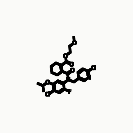 COCCOC(=O)C1=C(C(=O)N(Cc2ccc(Cl)nc2)c2cc(OC(C)C)c(Cl)cc2F)CCCC1